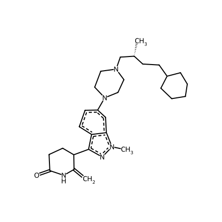 C=C1NC(=O)CCC1c1nn(C)c2cc(N3CCN(C[C@H](C)CCC4CCCCC4)CC3)ccc12